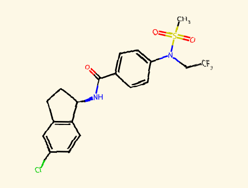 CS(=O)(=O)N(CC(F)(F)F)c1ccc(C(=O)N[C@@H]2CCc3cc(Cl)ccc32)cc1